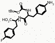 CC(C)(C)OC(=O)NC(Cc1ccc(N)cc1)C(=O)NC(Cc1ccc(F)cc1)C(=O)O